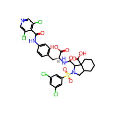 O=C(Nc1ccc(C[C@H](NC(=O)C2N(S(=O)(=O)c3cc(Cl)cc(Cl)c3)CC3CCCCC32C(=O)O)C(=O)O)cc1)c1c(Cl)cncc1Cl